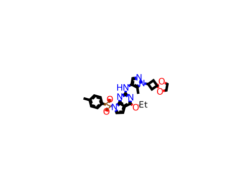 CCOc1nc(Nc2cnn(C3CC4(C3)OCCO4)c2C)nc2c1ccn2S(=O)(=O)c1ccc(C)cc1